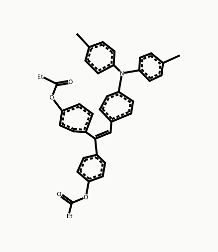 CCC(=O)Oc1ccc(C(=Cc2ccc(N(c3ccc(C)cc3)c3ccc(C)cc3)cc2)c2ccc(OC(=O)CC)cc2)cc1